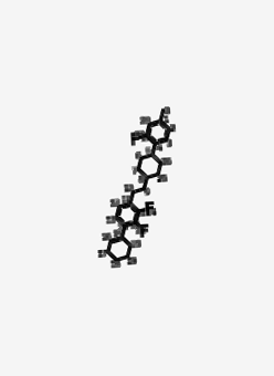 Cc1ccc(C2CCC(CCc3ccc(C4=CCCCC4)c(F)c3F)CC2)c(F)c1